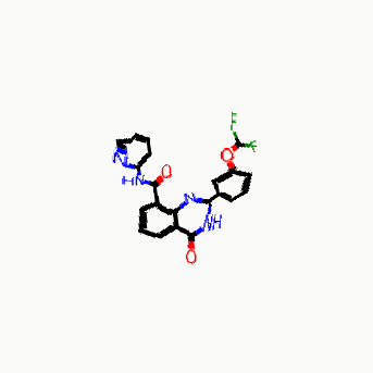 O=C(Nc1ccccn1)c1cccc2c(=O)[nH]c(-c3cccc(OC(F)F)c3)nc12